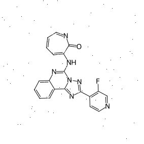 O=c1nccccc1Nc1nc2ccccc2c2nc(-c3ccncc3F)nn12